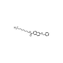 CCCCCCCCOC(=O)c1ccc2cc(OCc3ccccc3)ccc2c1